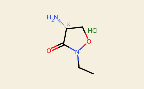 CCN1OC[C@@H](N)C1=O.Cl